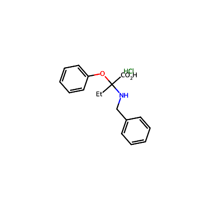 CCC(NCc1ccccc1)(Oc1ccccc1)C(=O)O.Cl